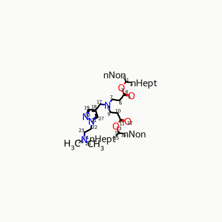 CCCCCCCCCC(CCCCCCC)OC(=O)CCN(CCC(=O)OC(CCCCCCC)CCCCCCCCC)Cc1cnn(CCN(C)C)c1